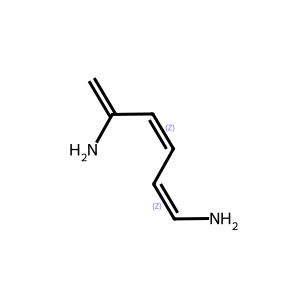 C=C(N)/C=C\C=C/N